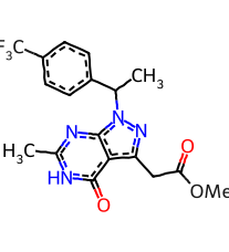 COC(=O)Cc1nn(C(C)c2ccc(C(F)(F)F)cc2)c2nc(C)[nH]c(=O)c12